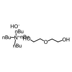 CCCC[N+](CCCC)(CCCC)CCCC.OCCOCCO.[OH-]